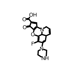 O=C(O)C1=CC2=C(OC3=C(F)C(N4CCNCC4)=CC4C=CCN2C34)C1=O